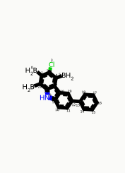 Bc1c(Cl)c(B)c2c([nH]c3ccc(-c4ccccc4)cc32)c1B